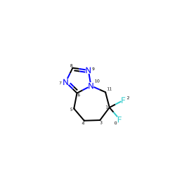 FC1(F)CCCc2ncnn2C1